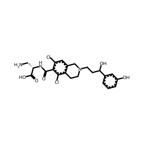 NC[C@H](NC(=O)c1c(Cl)cc2c(c1Cl)CCN(CCC(O)c1cccc(O)c1)C2)C(=O)O